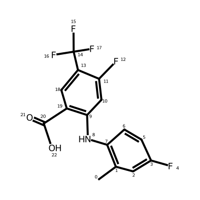 Cc1cc(F)ccc1Nc1cc(F)c(C(F)(F)F)cc1C(=O)O